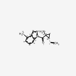 C=C[C@H]1C[C@@]1(N)C(=O)n1ncc2c(C)cccc21